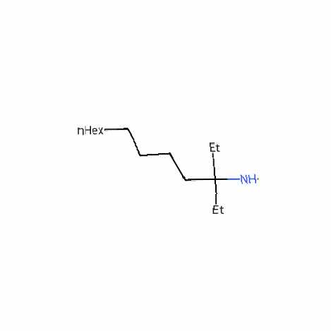 CCCCCCCCCCC([NH])(CC)CC